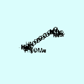 [CH2]c1ccc(NC(=O)[C@H](CCCCNC(c2ccccc2)(c2ccccc2)c2ccc(OC)cc2)NC(=O)COCC(=O)NCCOCCOCCOCCOCCOCCOCCOCCOCCn2cc(CNC(=O)C3CCC(CN4C(=O)C(Br)=C(Br)C4=O)CC3)nn2)cc1